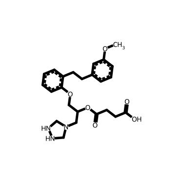 COc1cccc(CCc2ccccc2OCC(CN2CNNC2)OC(=O)CCC(=O)O)c1